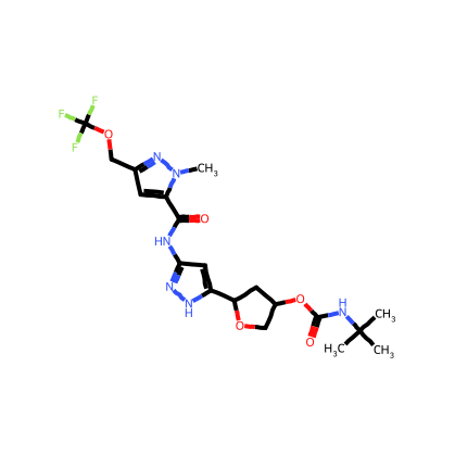 Cn1nc(COC(F)(F)F)cc1C(=O)Nc1cc(C2CC(OC(=O)NC(C)(C)C)CO2)[nH]n1